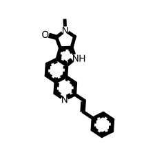 CN1Cc2[nH]c3c(ccc4cnc(/C=C/c5ccccc5)cc43)c2C1=O